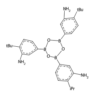 CC(C)c1ccc(B2OB(c3ccc(C(C)(C)C)c(N)c3)OB(c3ccc(C(C)(C)C)c(N)c3)O2)cc1N